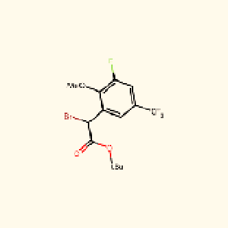 COc1c(F)cc(C(F)(F)F)cc1C(Br)C(=O)OC(C)(C)C